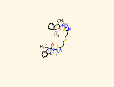 Cc1ccccc1C(C)C(=O)Nc1nnc(CCSCCc2nnc(NC(=O)C(C)c3ccccc3C)s2)s1